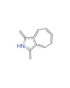 C=c1[nH]c(=C)c2c1=CC=C=CC=2